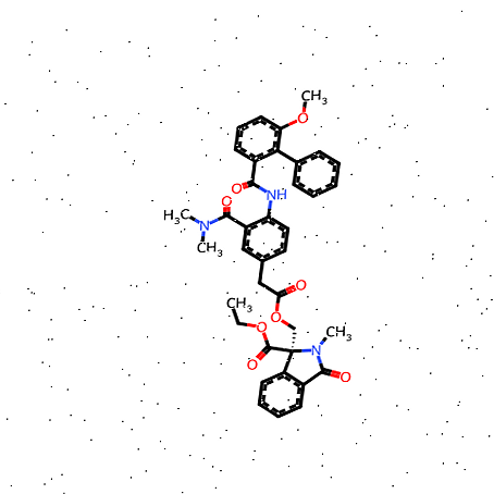 CCOC(=O)[C@]1(COC(=O)Cc2ccc(NC(=O)c3cccc(OC)c3-c3ccccc3)c(C(=O)N(C)C)c2)c2ccccc2C(=O)N1C